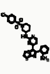 Nc1ccccc1-c1nc2sccn2c1-c1ccnc(N[C@@H]2CCCN(S(=O)(=O)c3ccc(Cl)cc3)C2)n1